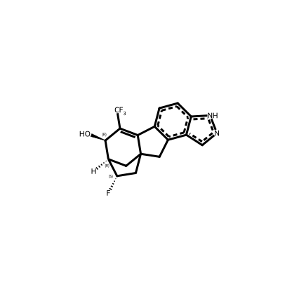 O[C@H]1C(C(F)(F)F)=C2c3ccc4[nH]ncc4c3CC23C[C@H]1[C@@H](F)C3